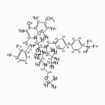 [2H]c1c(C)c([2H])c2c(=O)c([2H])c(SCc3cccc(F)c3F)n(C([2H])([2H])C(=O)N(Cc3ccc(-c4ccc(C(F)(F)F)cc4)cc3)C3([2H])C([2H])([2H])C([2H])([2H])N(CCOC([2H])([2H])[2H])C([2H])([2H])C3([2H])[2H])c2c1[2H]